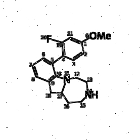 COc1ccc(-c2cccc3c2N2CCNCCC2C3)c(F)c1